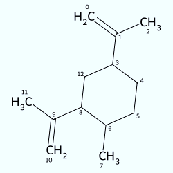 C=C(C)C1CCC(C)C(C(=C)C)C1